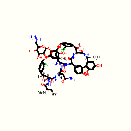 CN[C@@H](CC(C)C)C(=O)N[C@H]1C(=O)N[C@@H](CC(N)=O)C(=O)NC2C(=O)NC3C(=O)N[C@H](C(=O)N[C@@H](C(=O)O)c4cc(O)cc(O)c4-c4cc3ccc4O)[C@H](O)c3ccc(c(Cl)c3)Oc3cc2cc(c3OC2OC(CNN)C(O)C(O)C2OC2CC(C)(N)C(O)C(C)O2)Oc2ccc(cc2Cl)[C@H]1O